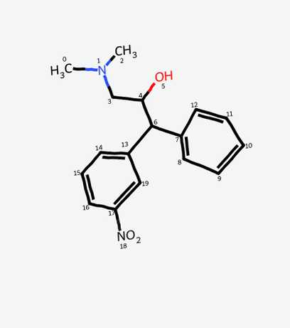 CN(C)CC(O)C(c1ccccc1)c1cccc([N+](=O)[O-])c1